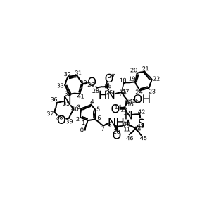 Cc1ccccc1CNC(=O)[C@H]1N(C(=O)[C@@H](O)[C@H](Cc2ccccc2)NC(=O)COc2cccc(N3CCOCC3)c2)CSC1(C)C